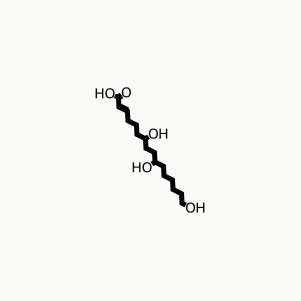 O=C(O)C=CCCCC(O)CCC(O)CCCCCCO